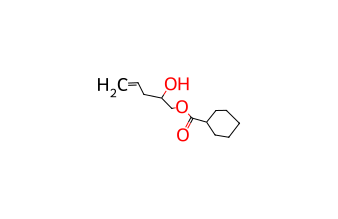 C=CCC(O)COC(=O)C1CCCCC1